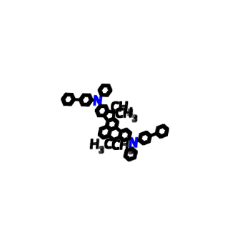 CC1(C)c2cc(N(c3ccccc3)c3ccc(-c4ccccc4)cc3)ccc2-c2c1cc1c3c(cccc23)C(C)(C)c2cc(N(c3ccccc3)c3ccc(-c4ccccc4)cc3)ccc2-1